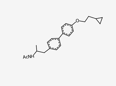 CC(=O)NC(C)Cc1ccc(-c2ccc(OCCC3CC3)cc2)cc1